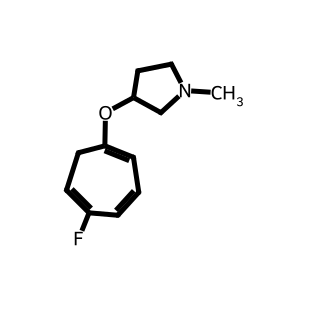 CN1CCC(OC2=CC=CC(F)=CC2)C1